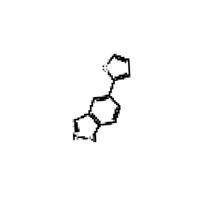 c1coc(-c2ccc3[nH]ncc3c2)c1